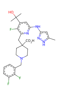 Cc1cc(Nc2cc(C(C)(C)O)c(F)c(CC3(C(=O)O)CCN(Cc4cccc(F)c4F)CC3)n2)n[nH]1